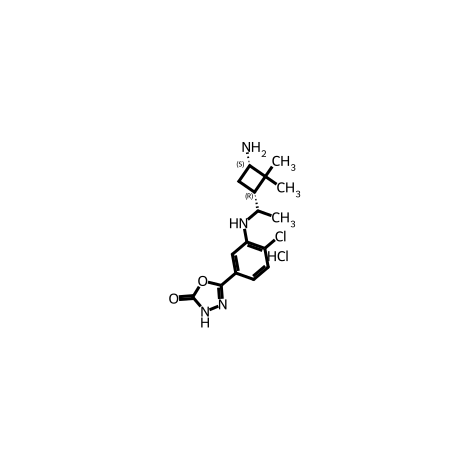 CC(Nc1cc(-c2n[nH]c(=O)o2)ccc1Cl)[C@@H]1C[C@H](N)C1(C)C.Cl